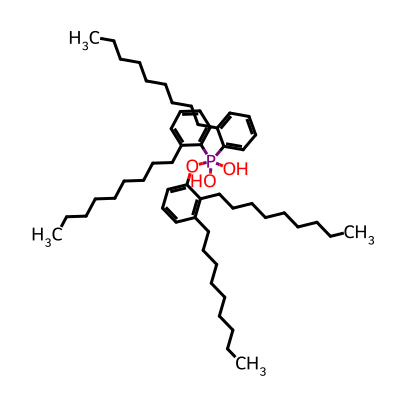 CCCCCCCCCc1ccccc1P(O)(O)(Oc1cccc(CCCCCCCCC)c1CCCCCCCCC)c1ccccc1CCCCCCCCC